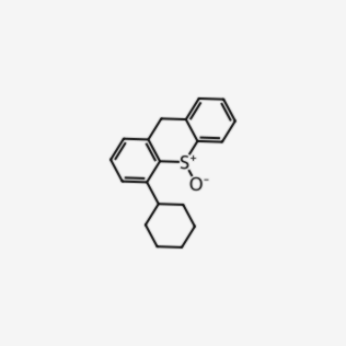 [O-][S+]1c2ccccc2Cc2cccc(C3CCCCC3)c21